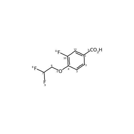 O=C(O)c1ccc(OCC(F)F)c(F)c1